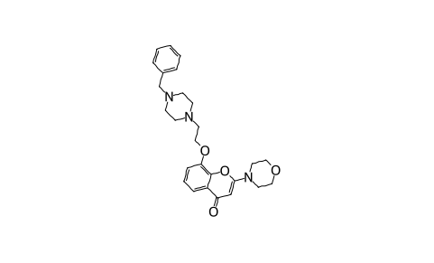 O=c1cc(N2CCOCC2)oc2c(OCCN3CCN(Cc4ccccc4)CC3)cccc12